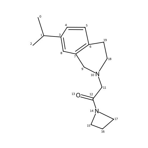 CC(C)c1ccc2c(c1)CN(CC(=O)N1CCC1)CC2